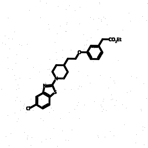 CCOC(=O)Cc1cccc(OCCC2CCN(c3nc4cc(Cl)ccc4s3)CC2)c1